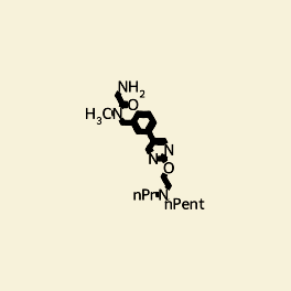 CCCCCN(CCC)CCOc1ncc(-c2cccc(CN(C)C(=O)CN)c2)cn1